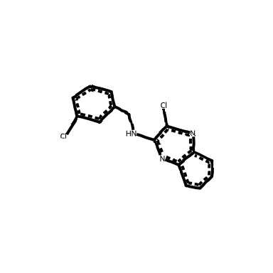 Clc1cccc(CNc2nc3ccccc3nc2Cl)c1